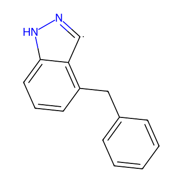 [c]1n[nH]c2cccc(Cc3ccccc3)c12